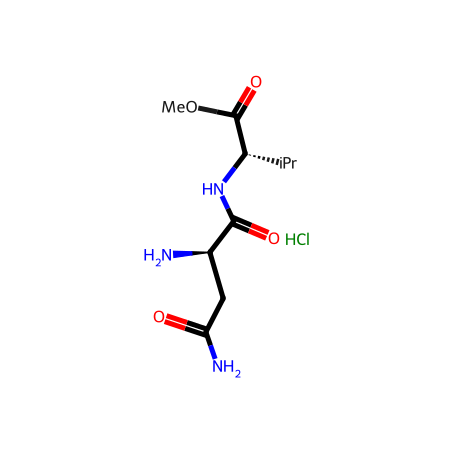 COC(=O)[C@@H](NC(=O)[C@H](N)CC(N)=O)C(C)C.Cl